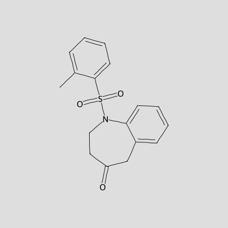 Cc1ccccc1S(=O)(=O)N1CCC(=O)Cc2ccccc21